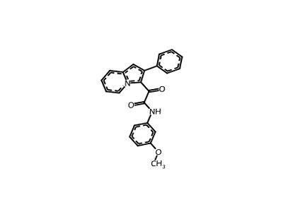 COc1cccc(NC(=O)C(=O)c2c(-c3ccccc3)cc3ccccn23)c1